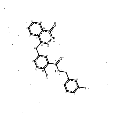 O=C(NCc1cccc(F)c1)c1cc(Cc2n[nH]c(=O)c3ccccc23)ccc1F